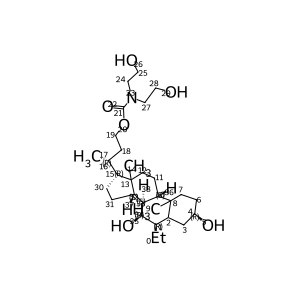 CC[C@@H]1C2C[C@H](O)CCC2(C)[C@H]2CCC3(C)[C@@H]([C@H](C)CCOC(=O)N(CCO)CCO)CC[C@H]3[C@@H]2[C@@H]1O